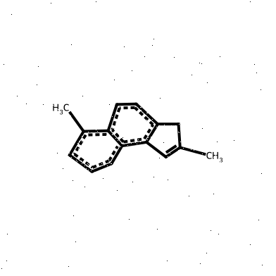 CC1=Cc2c(ccc3c(C)cccc23)C1